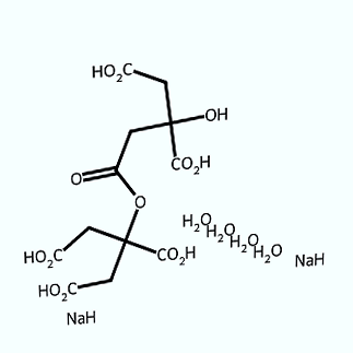 O.O.O.O.O=C(O)CC(O)(CC(=O)OC(CC(=O)O)(CC(=O)O)C(=O)O)C(=O)O.[NaH].[NaH]